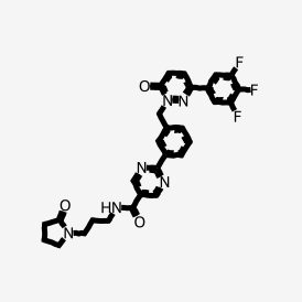 O=C(NCCCN1CCCC1=O)c1cnc(-c2cccc(Cn3nc(-c4cc(F)c(F)c(F)c4)ccc3=O)c2)nc1